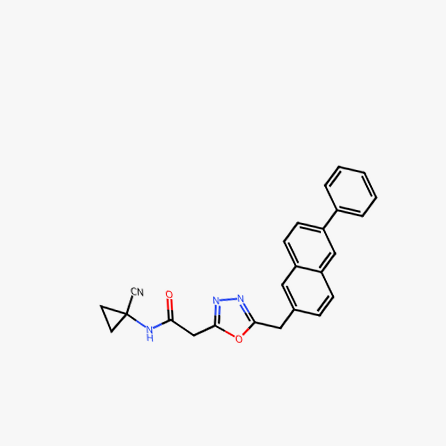 N#CC1(NC(=O)Cc2nnc(Cc3ccc4cc(-c5ccccc5)ccc4c3)o2)CC1